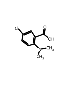 CN(C)c1ccc(Cl)cc1C(=O)O